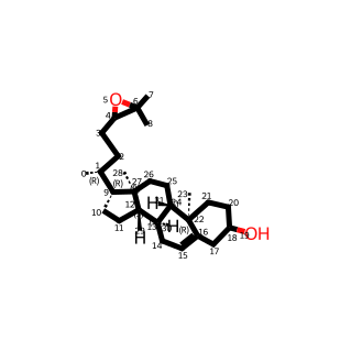 C[C@H](CCC1OC1(C)C)[C@H]1CC[C@H]2[C@@H]3CC=C4CC(O)CC[C@]4(C)[C@H]3CC[C@]12C